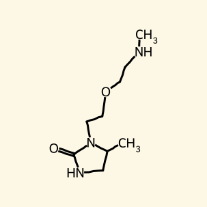 CNCCOCCN1C(=O)NCC1C